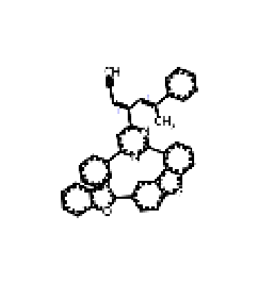 C#C/C=C(\C=C(/C)c1ccccc1)c1cc(-c2ccccc2)nc(-c2cccc3sc4ccc(-c5nc6ccccc6o5)cc4c23)n1